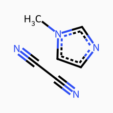 Cn1ccnc1.N#CC#N